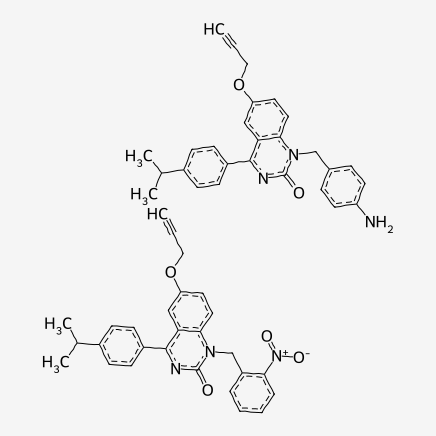 C#CCOc1ccc2c(c1)c(-c1ccc(C(C)C)cc1)nc(=O)n2Cc1ccc(N)cc1.C#CCOc1ccc2c(c1)c(-c1ccc(C(C)C)cc1)nc(=O)n2Cc1ccccc1[N+](=O)[O-]